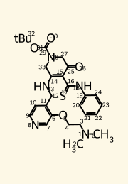 CN(C)CCOc1cnccc1CNC1=C(C(=S)Nc2ccccc2)C(=O)CN(C(=O)OC(C)(C)C)C1